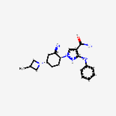 CC1CN([C@H]2CC[C@H](n3cc(C(N)=O)c(Nc4ccccc4)n3)C(=N)C2)C1